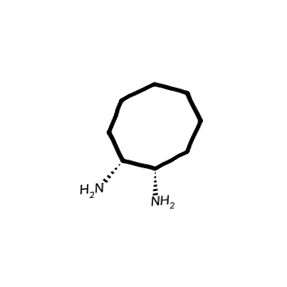 N[C@@H]1CCCCCC[C@@H]1N